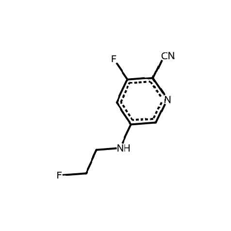 N#Cc1ncc(NCCF)cc1F